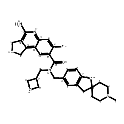 CN1CCC2(CC1)Cc1cc(CN(CC3COC3)C(=O)c3cc4c5c(c(N)nc4cc3F)COC5)ccc1O2